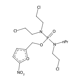 CCCN(CCCl)P(=O)(OCc1ccc([N+](=O)[O-])o1)N(CCCl)CCCl